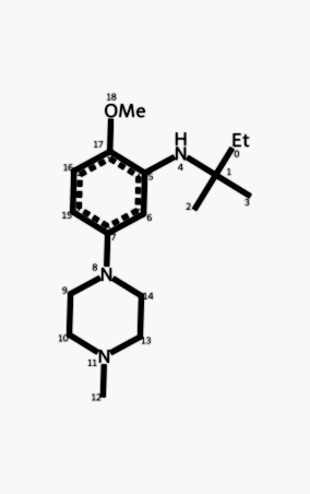 CCC(C)(C)Nc1cc(N2CCN(C)CC2)ccc1OC